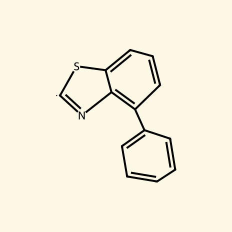 [c]1nc2c(-c3ccccc3)cccc2s1